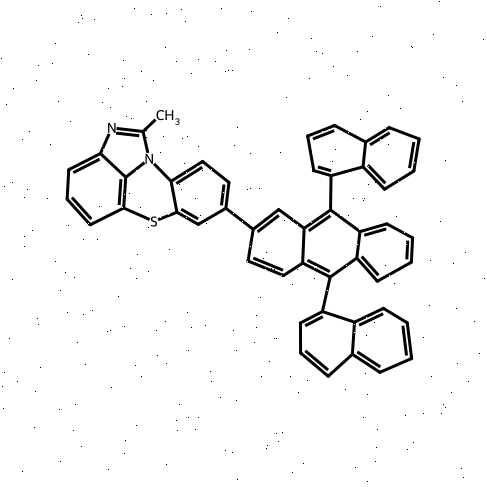 Cc1nc2cccc3c2n1-c1ccc(-c2ccc4c(-c5cccc6ccccc56)c5ccccc5c(-c5cccc6ccccc56)c4c2)cc1S3